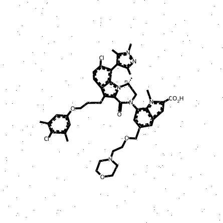 Cc1cc(OCCCc2c3n(c4c(-c5c(C)nn(C)c5C)c(Cl)ccc24)[C@H](C)CN(c2cc(COCCN4CCOCC4)cc4cc(C(=O)O)n(C)c24)C3=O)cc(C)c1Cl